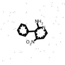 Nc1nccc([N+](=O)[O-])c1-c1ccccc1